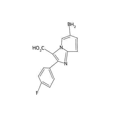 Bc1ccc2nc(-c3ccc(F)cc3)c(C(=O)O)n2c1